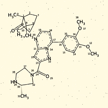 CC12CCC(CC1=O)C2(C)C.COc1ccc(-c2ccnc3cc(C(=O)N4CCN[C@@H](C)C4)nn23)cc1OC